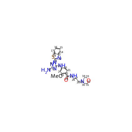 COc1cc(Nc2nc(N)nn2-c2nc3ccccc3s2)ccc1C(=O)NCCCN1CCOCC1